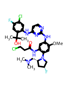 COc1cc(N2C[C@H](F)C[C@@H]2CN(C)C)c(NC(=O)CCCl)cc1Nc1nccc(Nc2cc(Cl)c(F)cc2C(C)(C)O)n1